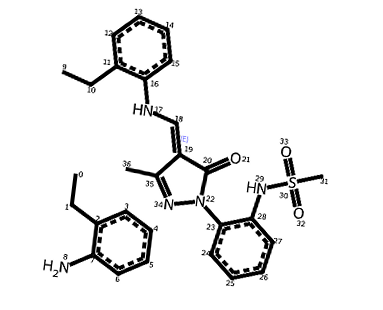 CCc1ccccc1N.CCc1ccccc1N/C=C1/C(=O)N(c2ccccc2NS(C)(=O)=O)N=C1C